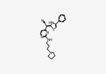 N#C/C(=C1\NC(c2ccccc2)=CS1)c1ccnc(NCCCN2CCCC2)n1